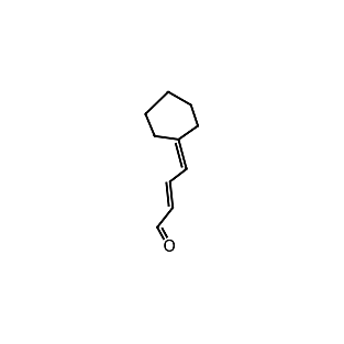 O=CC=CC=C1CCCCC1